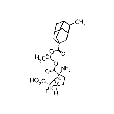 CC1C2CC3CC1CC(C(=O)O[C@H](C)OC(=O)[C@]1(N)CC[C@@H]4C1[C@@]4(F)C(=O)O)(C3)C2